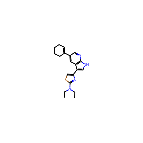 CCN(CC)c1nc(-c2c[nH]c3ncc(C4=CCCCC4)cc23)cs1